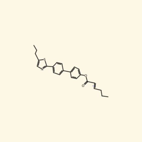 CCC/C=C/C(=O)Oc1ccc(-c2ccc(-c3ncc(CCC)s3)cc2)cc1